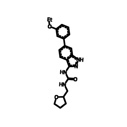 CCOc1cccc(-c2ccc3c(NC(=O)NCC4CCCO4)n[nH]c3c2)c1